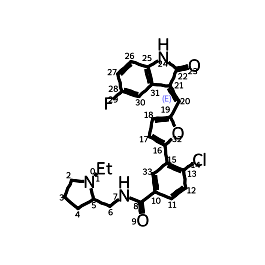 CCN1CCCC1CNC(=O)c1ccc(Cl)c(-c2ccc(/C=C3/C(=O)Nc4ccc(F)cc43)o2)c1